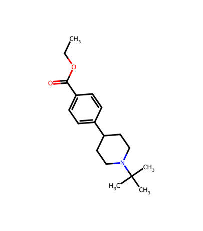 CCOC(=O)c1ccc(C2CCN(C(C)(C)C)CC2)cc1